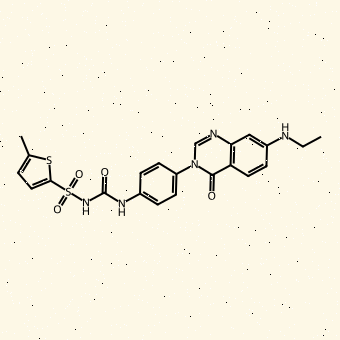 CCNc1ccc2c(=O)n(-c3ccc(NC(=O)NS(=O)(=O)c4ccc(C)s4)cc3)cnc2c1